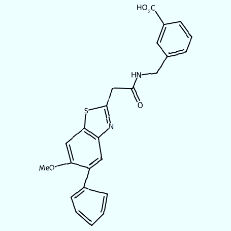 COc1cc2sc(CC(=O)NCc3cccc(C(=O)O)c3)nc2cc1-c1ccccc1